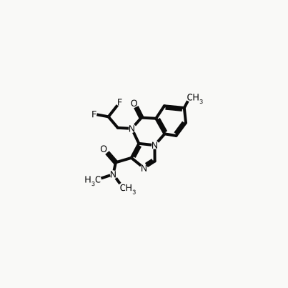 Cc1ccc2c(c1)c(=O)n(CC(F)F)c1c(C(=O)N(C)C)ncn21